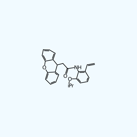 C=Cc1cccc(OC(C)C)c1NC(=O)CC1c2ccccc2Oc2ccccc21